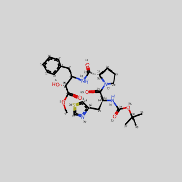 COC(=O)[C@H](O)C(Cc1ccccc1)NC(=O)[C@@H]1CCCN1C(=O)[C@H](Cc1cscn1)NC(=O)OC(C)(C)C